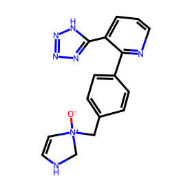 [O-][N+]1(Cc2ccc(-c3ncccc3-c3nnn[nH]3)cc2)C=CNC1